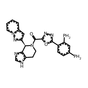 O=C(c1nnc(-c2ccc(P)cc2P)o1)N1CCc2[nH]cnc2[C@H]1c1cc2ccccn2n1